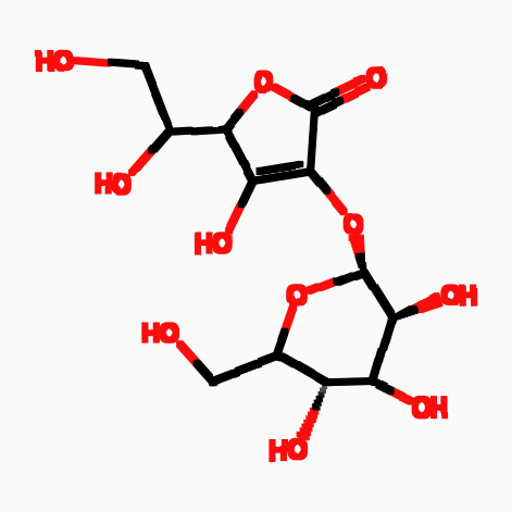 O=C1OC(C(O)CO)C(O)=C1O[C@@H]1OC(CO)[C@@H](O)C(O)[C@@H]1O